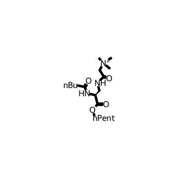 CCCCCOC(=O)[C@H](CNC(=O)C[N+](C)(C)C)NC(=O)CCCC